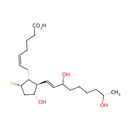 C[C@H](O)CCCCC(O)/C=C/[C@@H]1[C@@H](C/C=C\CCCC(=O)O)[C@H](F)C[C@H]1O